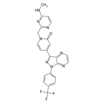 CNc1ccnc(Cn2ccc(-c3nn(-c4ccc(C(F)(F)F)cc4)c4nccnc34)cc2=O)n1